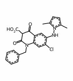 Cc1ccc(C)n1Nc1cc2c(cc1Cl)N(Cc1ccccc1)C(=O)C(C(=O)O)C2=O